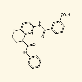 O=C(O)c1cccc(C(=O)Nc2ccc3c(n2)N(C(=O)Nc2ccccc2)CCO3)c1